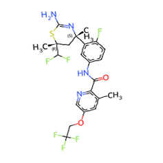 Cc1cc(OCC(F)(F)F)cnc1C(=O)Nc1ccc(F)c([C@]2(C)C[C@](C)(C(F)F)SC(N)=N2)c1